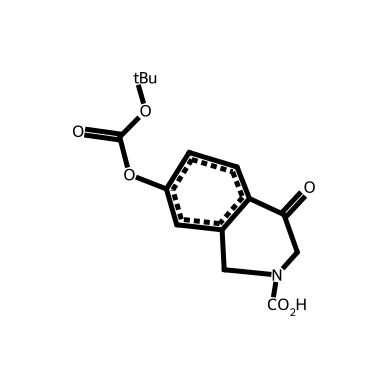 CC(C)(C)OC(=O)Oc1ccc2c(c1)CN(C(=O)O)CC2=O